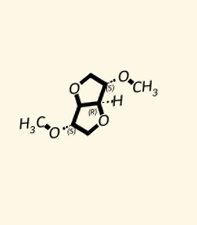 CO[C@H]1CO[C@H]2C1OC[C@@H]2OC